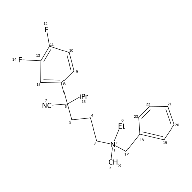 CC[N+](C)(CCCC(C#N)(c1ccc(F)c(F)c1)C(C)C)Cc1ccccc1